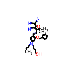 CCCCN(CCCCO)c1ccc(/C=C/C2=C(C#N)C(=C(C#N)C#N)OC2(C)C)c(OCc2ccccc2)c1